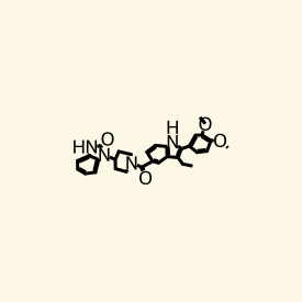 CCc1c(-c2ccc(OC)c(OC)c2)[nH]c2ccc(C(=O)N3CCC(n4c(=O)[nH]c5ccccc54)CC3)cc12